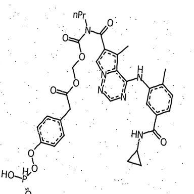 CCCN(C(=O)OCOC(=O)Cc1ccc(OO[PH](=O)O)cc1)C(=O)c1cn2ncnc(Nc3cc(C(=O)NC4CC4)ccc3C)c2c1C